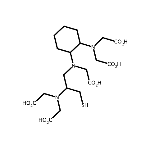 O=C(O)CN(CC(=O)O)C(CS)CN(CC(=O)O)C1CCCCC1N(CC(=O)O)CC(=O)O